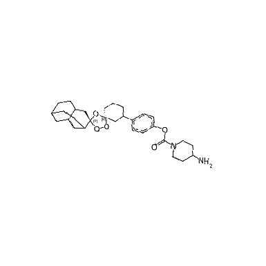 NC1CCN(C(=O)Oc2ccc(C3CCC[C@]4(C3)OO[C@@]3(CC5CCC6CC5CC3C6)O4)cc2)CC1